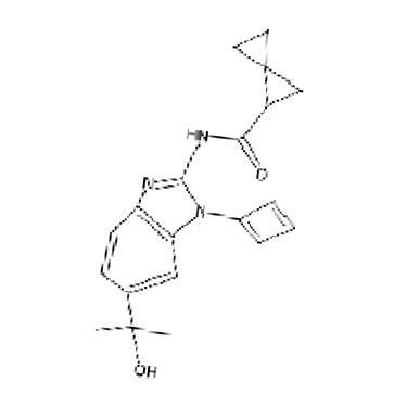 CC(C)(O)c1ccc2nc(NC(=O)C3CC34CC4)n(C3=CC=C3)c2c1